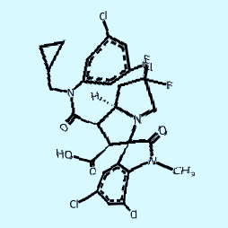 CN1C(=O)[C@]2(c3cc(Cl)cc(Cl)c31)[C@@H](C(=O)O)[C@@H](C(=O)N(CC1CC1)c1cc(Cl)cc(Cl)c1)[C@H]1CC(F)(F)CN12